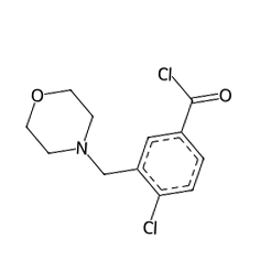 O=C(Cl)c1ccc(Cl)c(CN2CCOCC2)c1